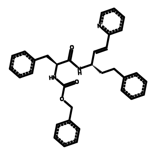 O=C(N[C@@H](Cc1ccccc1)C(=O)N[C@H](/C=C/c1ccccn1)CCc1ccccc1)OCc1ccccc1